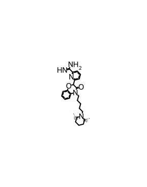 C[C@@H]1CCC[C@H](C)N1CCCCCN1C(=O)C(c2cccc(C(=N)N)n2)Oc2ccccc21